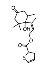 C/C(=C/COC(=O)C1CC=CS1)C1(O)C(C)CC(=O)CC1(C)C